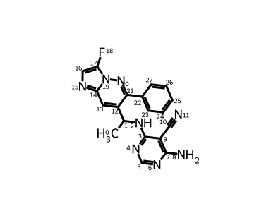 CC(Nc1ncnc(N)c1C#N)c1cc2ncc(F)n2nc1-c1ccccc1